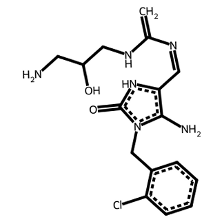 C=C(/N=C\c1[nH]c(=O)n(Cc2ccccc2Cl)c1N)NCC(O)CN